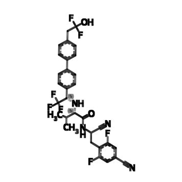 CC(C)[C@H](N[C@@H](c1ccc(-c2ccc(CC(O)(F)F)cc2)cc1)C(F)(F)F)C(=O)NC(C#N)Cc1c(F)cc(C#N)cc1F